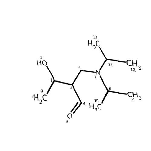 [CH2]C(O)C(C=O)CN(C(C)C)C(C)C